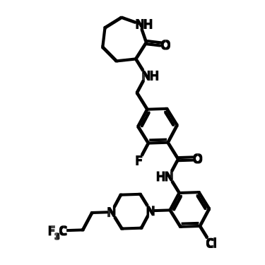 O=C(Nc1ccc(Cl)cc1N1CCN(CCC(F)(F)F)CC1)c1ccc(CNC2CCCCNC2=O)cc1F